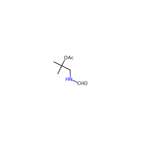 CC(=O)OC(C)(C)CNC=O